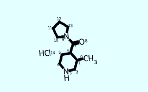 CC1CNCCC1C(=O)N1CCCC1.Cl